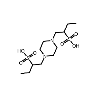 CCC(CN1CCN(CC(CC)S(=O)(=O)O)CC1)S(=O)(=O)O